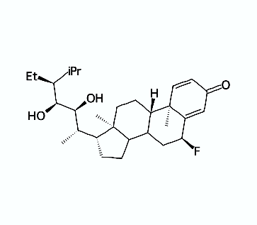 CC[C@@H](C(C)C)[C@H](O)[C@@H](O)[C@@H](C)[C@H]1CCC2C3C[C@H](F)C4=CC(=O)C=C[C@]4(C)[C@H]3CC[C@@]21C